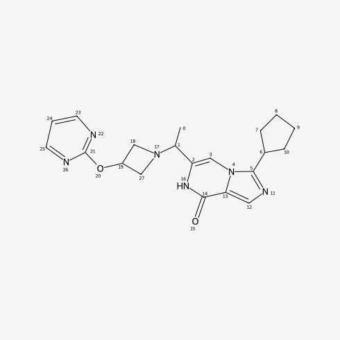 CC(c1cn2c(C3CCCC3)ncc2c(=O)[nH]1)N1CC(Oc2ncccn2)C1